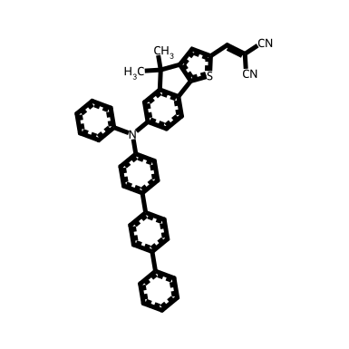 CC1(C)c2cc(N(c3ccccc3)c3ccc(-c4ccc(-c5ccccc5)cc4)cc3)ccc2-c2sc(C=C(C#N)C#N)cc21